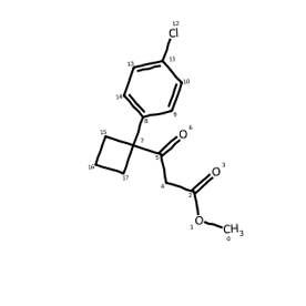 COC(=O)CC(=O)C1(c2ccc(Cl)cc2)CCC1